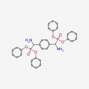 NC(c1ccc(C(N)P(=O)(Oc2ccccc2)Oc2ccccc2)cc1)P(=O)(Oc1ccccc1)Oc1ccccc1